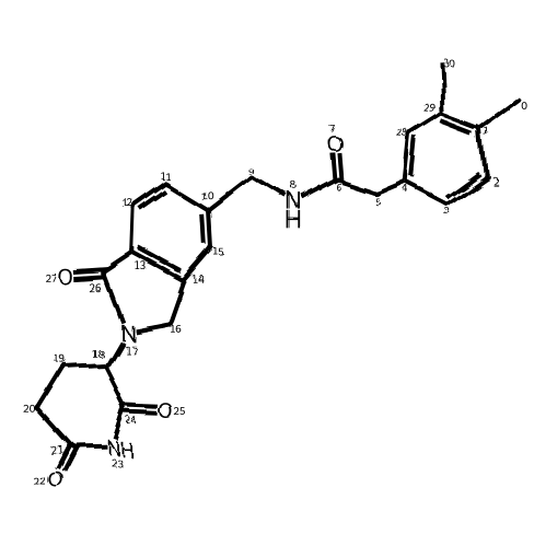 Cc1ccc(CC(=O)NCc2ccc3c(c2)CN(C2CCC(=O)NC2=O)C3=O)cc1C